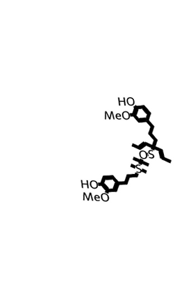 CC=CC(C=CC)(CCCc1ccc(O)c(OC)c1)SOC(C)(C)S(C)(C)CCCc1ccc(O)c(OC)c1